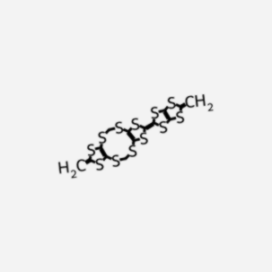 C=C1SC2=C(SCSC3=C(SCS2)SC(=C2SC4=C(SC(=C)S4)S2)S3)S1